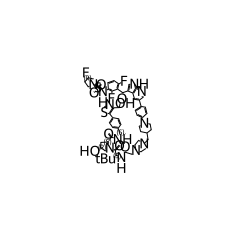 C[C@H](NC(=O)[C@@H]1C[C@@H](O)CN1C(=O)[C@@H](NC(=O)CN1CCN(CC2CCN(c3ccc(-c4cnc5[nH]cc(C(=O)c6c(F)ccc(NS(=O)(=O)N7CC[C@@H](F)C7)c6F)c5c4)cc3)CC2)CC1)C(C)(C)C)c1ccc(-c2scnc2CO)cc1